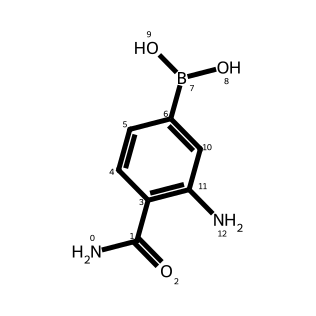 NC(=O)c1ccc(B(O)O)cc1N